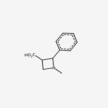 CN1CC(C(=O)O)C1c1ccccc1